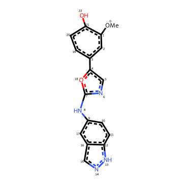 COc1cc(-c2cnc(Nc3ccc4[nH]ncc4c3)o2)ccc1O